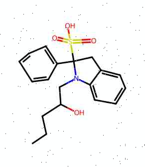 CCCC(O)CN1c2ccccc2CC1(c1ccccc1)S(=O)(=O)O